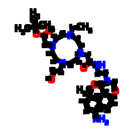 CCN1CCN(CC(=O)NCCN(C=O)C(=O)c2cccc3c(N)ccc(C)c23)CCN(CC=O)CCN(CC(=O)OC(C)(C)C)CC1